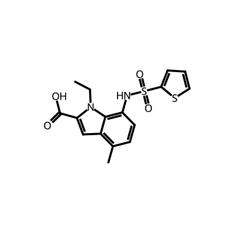 CCn1c(C(=O)O)cc2c(C)ccc(NS(=O)(=O)c3cccs3)c21